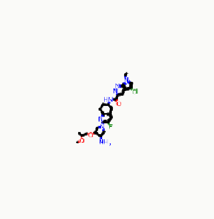 CCn1cc(Cl)c2cc(C(=O)NC3CCc4nc(N5CC(N)C(OCC(C)OC)C5)c(F)cc4C3)nnc21